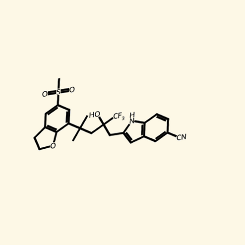 CC(C)(CC(O)(Cc1cc2cc(C#N)ccc2[nH]1)C(F)(F)F)c1cc(S(C)(=O)=O)cc2c1OCC2